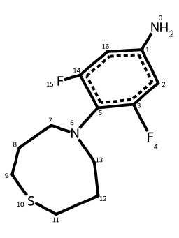 Nc1cc(F)c(N2CCCSCCC2)c(F)c1